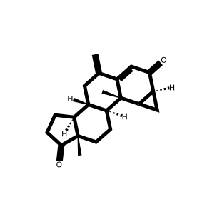 C=C1C[C@H]2[C@@H]3CCC(=O)[C@@]3(C)CC[C@@H]2[C@]2(C)C1=CC(=O)[C@H]1CC12